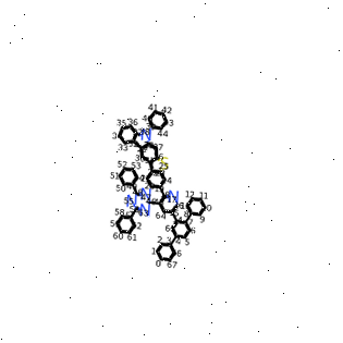 c1ccc(-c2ccc(-c3ccccc3)c(-c3cnc(-c4ccc5c(c4)sc4cc6c(cc45)c4ccccc4n6-c4ccccc4)c(-c4nc(-c5ccccc5)nc(-c5ccccc5)n4)c3)c2)cc1